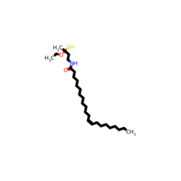 CCCCCCCC/C=C\CCCCCCCCCCCC(=O)NCCC(C)(S)OCC